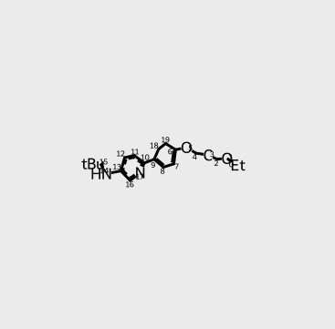 CCOCCCOC1=CC=C(c2ccc(NC(C)(C)C)cn2)CC1